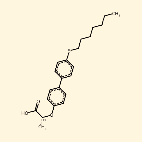 CCCCCCCSc1ccc(-c2ccc(O[C@H](C)C(=O)O)cc2)cc1